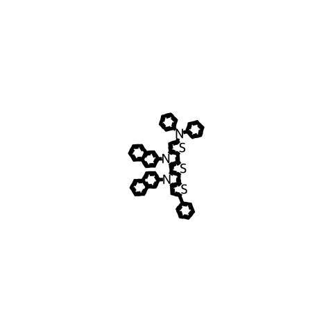 c1ccc(-c2cc3c(s2)c2sc4c5sc(N(c6ccccc6)c6ccccc6)cc5n(-c5ccc6ccccc6c5)c4c2n3-c2ccc3ccccc3c2)cc1